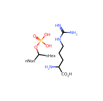 CCCCCCCCCC(CCCCCC)OP(=O)(O)O.N=C(N)NCCCC(N)C(=O)O